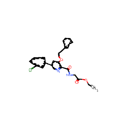 CCOC(=O)CNC(=O)c1ncc(-c2cccc(Cl)c2)cc1OCc1ccccc1